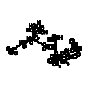 Cc1c(-c2ccc(N3CCc4cccc(C(=O)Nc5nc6ccccc6s5)c4C3)nc2C(=O)O)cnn1CC1(CCOCCN(CCCP(=O)(O)O)C2CCN(C(=O)OC/C=C/c3ccc(O[C@@H]4O[C@H](C(=O)O)[C@@H](O)[C@H](O)[C@H]4O)c(NC(=O)CCNC(=O)CCCCCN4C(=O)C=CC4=O)c3)CC2)CC2(C)CCCC(C)(C2)C1